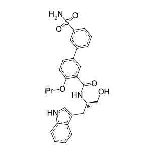 CC(C)Oc1ccc(-c2cccc(S(N)(=O)=O)c2)cc1C(=O)N[C@@H](CO)Cc1c[nH]c2ccccc12